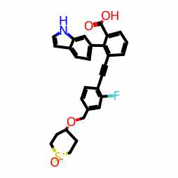 O=C(O)c1cccc(C#Cc2ccc(COC3CC[S+]([O-])CC3)cc2F)c1-c1ccc2cc[nH]c2c1